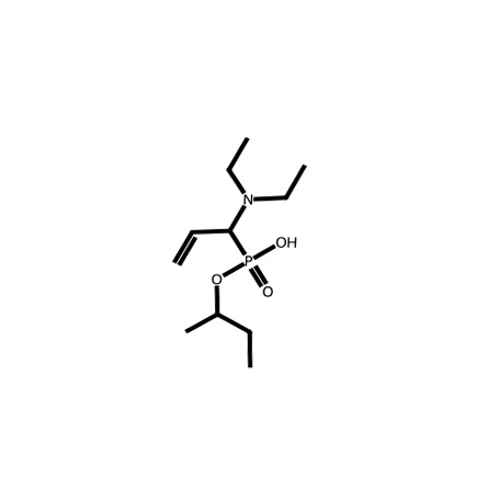 C=CC(N(CC)CC)P(=O)(O)OC(C)CC